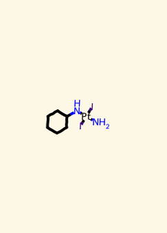 [NH2][Pt]([I])([I])[NH]C1CCCCC1